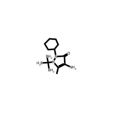 BC(B)(B)n1c(C)c(N)c(=O)n1C1CCCCC1